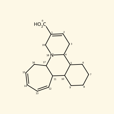 O=C(O)C1=CCC2C3CCCCC3C3C=CC=CCC3N2C1